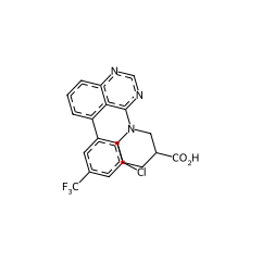 O=C(O)C1CCCN(c2ncnc3cccc(-c4cc(Cl)cc(C(F)(F)F)c4)c23)C1